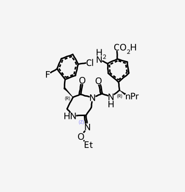 CCC[C@@H](NC(=O)N1C/C(=N/OCC)NC[C@@H](Cc2cc(Cl)ccc2F)C1=O)c1ccc(C(=O)O)c(N)c1